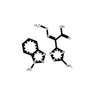 CON=C(C(=O)O)c1nsc(N)n1.On1nnc2ccccc21